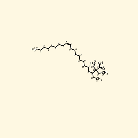 CCCCCCCC/C=C\CCCCCCCCCC(CC)C(CC)(CC)C(=O)O